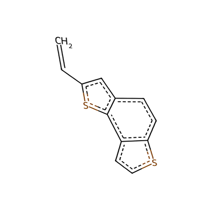 C=Cc1cc2ccc3sccc3c2s1